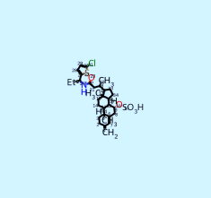 C=C1CCC2(C)C(C1)C[C@@H](OS(=O)(=O)O)C1[C@@H]2CCC2(C)C([C@H](C)CC(=O)NC(CC)c3ccc(Cl)s3)CC[C@@H]12